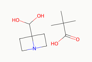 CC(C)(C)C(=O)O.OC(O)C12CCN1CC2